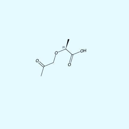 CC(=O)CO[C@@H](C)C(=O)O